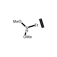 C=C.CC[SiH](OC)OC